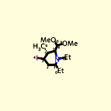 CCC1CC(I)[C@H](C)C(C(OC)OC)N1CC